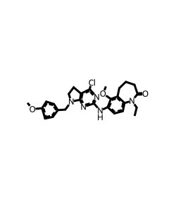 CCN1C(=O)CCCc2c1ccc(Nc1nc(Cl)c3c(n1)N(Cc1ccc(OC)cc1)CC3)c2OC